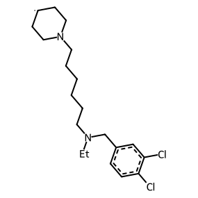 CCN(CCCCCCN1CC[CH]CC1)Cc1ccc(Cl)c(Cl)c1